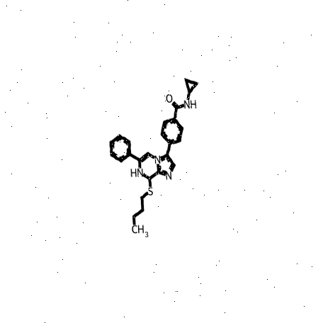 CCCCSC1NC(c2ccccc2)=Cn2c(-c3ccc(C(=O)NC4CC4)cc3)cnc21